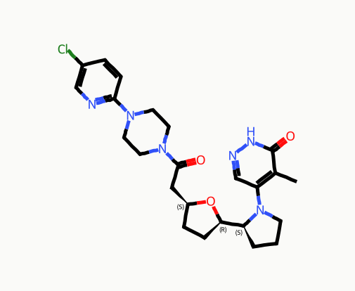 Cc1c(N2CCC[C@H]2[C@H]2CC[C@@H](CC(=O)N3CCN(c4ccc(Cl)cn4)CC3)O2)cn[nH]c1=O